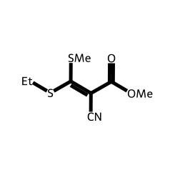 CCS/C(SC)=C(\C#N)C(=O)OC